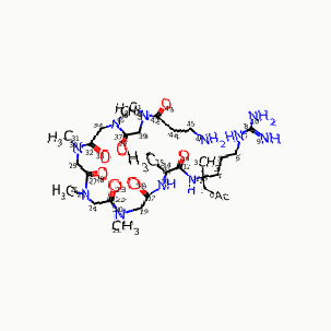 CC(=O)C[C@@](C)(CCCNC(=N)N)NC(=O)[C@H](C)NC(=O)CN(C)C(=O)CN(C)C(=O)CN(C)C(=O)CN(C)C(=O)CN(C)C(=O)CCN